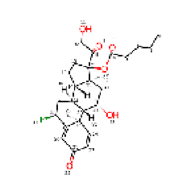 CCCCC(=O)O[C@]1(C(=O)CO)CC[C@H]2[C@@H]3C[C@H](F)C4=CC(=O)C=C[C@]4(C)[C@H]3[C@@H](O)C[C@@]21C